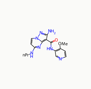 CCCNc1ccn2nc(N)c(C(=O)Nc3cnccc3OC)c2n1